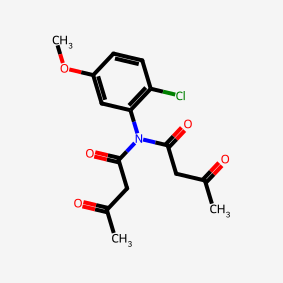 COc1ccc(Cl)c(N(C(=O)CC(C)=O)C(=O)CC(C)=O)c1